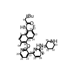 Cc1ccc2c(NC(=O)CC(C)(C)C)c(F)ccc2c1Oc1ncccc1-c1ccnc(N[C@H]2CCCNC2)n1